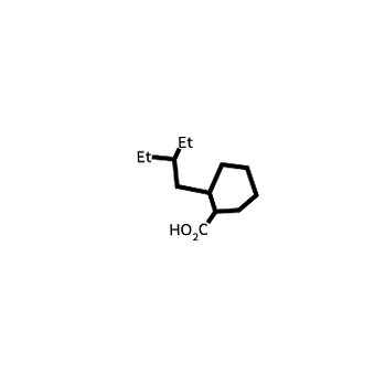 CCC(CC)CC1CCCCC1C(=O)O